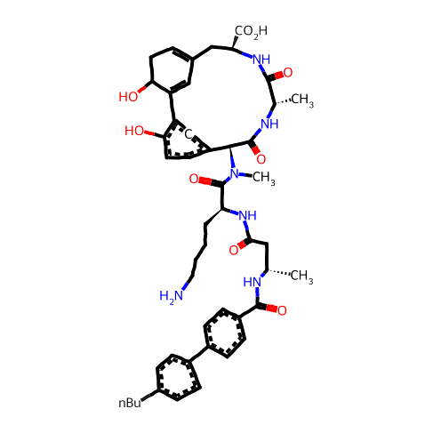 CCCCc1ccc(-c2ccc(C(=O)N[C@@H](C)CC(=O)N[C@@H](CCCCN)C(=O)N(C)[C@@H]3C(=O)N[C@@H](C)C(=O)N[C@H](C(=O)O)CC4=CCC(O)C(=C4)c4cc3ccc4O)cc2)cc1